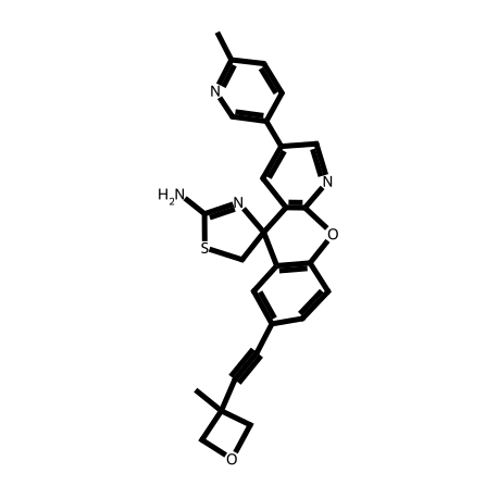 Cc1ccc(-c2cnc3c(c2)C2(CSC(N)=N2)c2cc(C#CC4(C)COC4)ccc2O3)cn1